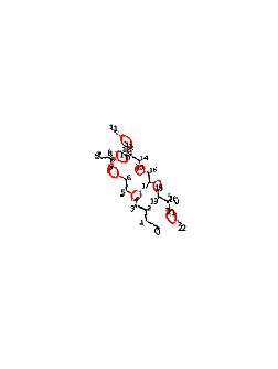 CCCCOCCOC(C)=O.COCCOCCOCCOC